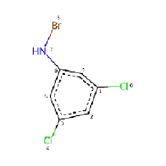 Clc1cc(Cl)cc(NBr)c1